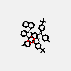 Cc1ccc(N(c2ccc(C(C)(C)C)cc2)c2cc(N(c3ccccc3-c3ccccc3)c3cccc4ccccc34)cc(N(c3ccc(C)cc3)c3ccc(C(C)(C)C)cc3)c2Cl)cc1